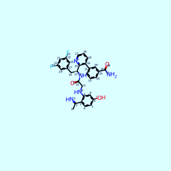 CC(=N)c1ccc(O)cc1NCC(=O)N[C@@H](Cc1cc(F)cc(F)c1)c1ncccc1-c1cccc(C(N)=O)c1